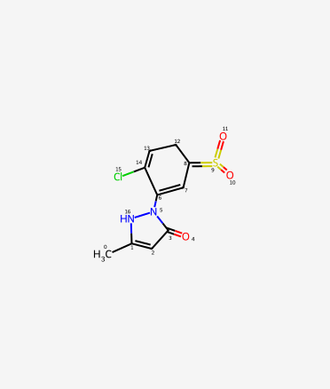 Cc1cc(=O)n(C2=CC(=S(=O)=O)CC=C2Cl)[nH]1